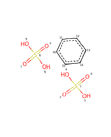 O=S(=O)(O)O.O=S(=O)(O)O.c1ccccc1